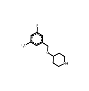 Fc1cc(COC2CCNCC2)cc(C(F)(F)F)c1